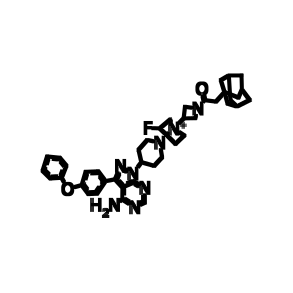 Nc1ncnc2c1c(-c1ccc(Oc3ccccc3)cc1)nn2C1CCN([C@@]23CC[N+]2(C2CN(C(=O)CC45CC6CC(CC(C6)C4)C5)C2)CC3F)CC1